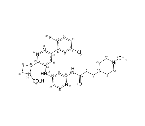 CN1CCN(CCC(=O)Nc2cc(Nc3cc(-c4cc(Cl)ccc4F)nnc3C3CCN3C(=O)O)ccn2)CC1